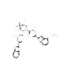 COc1cccc2[nH]c(C(=O)N[C@H](C(=O)N3C[C@H]4[C@@H]([C@H]3C(=O)N[C@@H](C)C(=O)c3nc5ccccc5s3)C4(C)C)C(C)(C)C)cc12